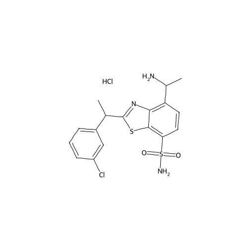 CC(N)c1ccc(S(N)(=O)=O)c2sc(C(C)c3cccc(Cl)c3)nc12.Cl